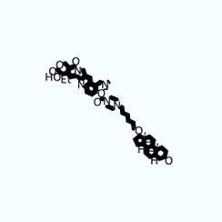 CC[C@@]1(O)C(=O)OCc2c1cc1n(c2=O)Cc2cc3c(CN(C)C)c(OC(=O)N4CCN(CCCCCCO[C@H]5CC[C@H]6[C@@H]7CC[C@H]8CC(=O)CC[C@]8(C)[C@H]7CC[C@]56C)CC4)ccc3nc2-1